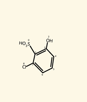 O=S(=O)(O)c1c(O)cccc1Cl